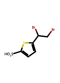 O=S(=O)(O)c1ccc(C(Br)CBr)s1